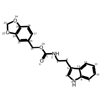 O=C(NCCc1c[nH]c2ccccc12)OCc1ccc2c(c1)OCO2